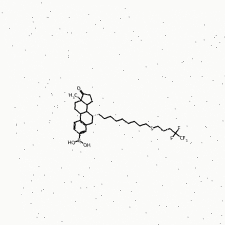 CC12CCC3c4ccc(B(O)O)cc4C[C@@H](CCCCCCCCCSCCCC(F)(F)C(F)(F)F)C3C1CCC2=O